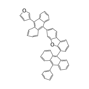 c1ccc(-c2c3ccccc3c(-c3cccc4c3oc3cc(-c5c6ccccc6c(-c6ccoc6)c6ccccc56)ccc34)c3ccccc23)cc1